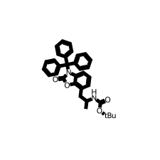 CC(Cc1cccc2c1oc(=O)n2C(c1ccccc1)(c1ccccc1)c1ccccc1)NC(=O)OC(C)(C)C